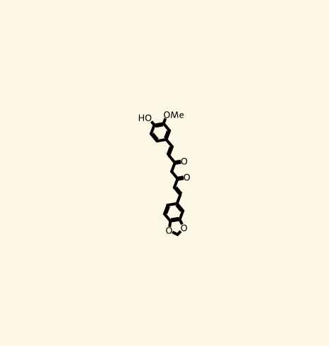 COc1cc(/C=C/C(=O)CC(=O)/C=C/c2ccc3c(c2)OCO3)ccc1O